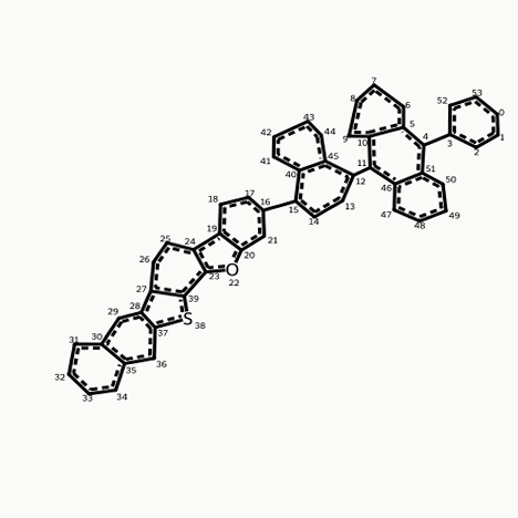 c1ccc(-c2c3ccccc3c(-c3ccc(-c4ccc5c(c4)oc4c5ccc5c6cc7ccccc7cc6sc54)c4ccccc34)c3ccccc23)cc1